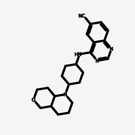 N#Cc1ccc2ncnc(NC3CCC(N4CCCC5COCCC54)CC3)c2c1